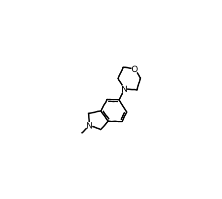 CN1Cc2ccc(N3CCOCC3)cc2C1